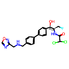 O=C(N[C@H](CF)[C@H](O)c1ccc(-c2ccc(CNCc3ncon3)cc2)cc1)C(Cl)Cl